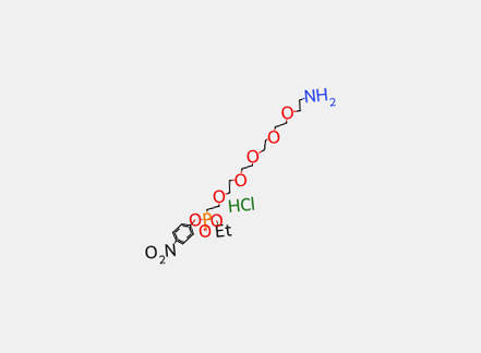 CCOP(=O)(CCOCCOCCOCCOCCOCCN)Oc1ccc([N+](=O)[O-])cc1.Cl